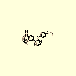 O=S1(=O)N=CNc2ccc(-c3nccnc3Sc3ccc(C(F)(F)F)cc3)cc21